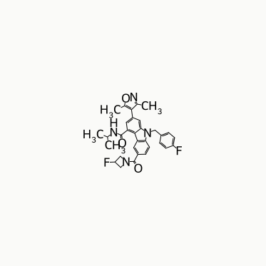 Cc1noc(C)c1-c1cc(C(=O)NC(C)C)c2c3cc(C(=O)N4CC(F)C4)ccc3n(Cc3ccc(F)cc3)c2c1